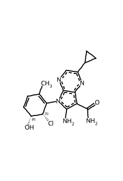 CC1=C(n2c(N)c(C(N)=O)c3nc(C4CC4)cnc32)[C@H](Cl)[C@H](O)C=C1